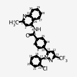 Cc1cc(NC(=O)c2ccc(-c3cc(C(F)(F)F)nn3-c3ccccc3Cl)cc2)c2ccccc2n1